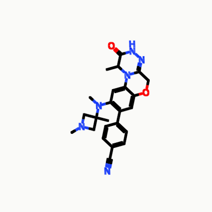 CC1C(=O)NN=C2COc3cc(-c4ccc(C#N)cc4)c(N(C)C4(C)CN(C)C4)cc3N21